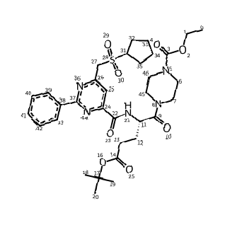 CCOC(=O)N1CCN(C(=O)[C@H](CCC(=O)OC(C)(C)C)NC(=O)c2cc(CS(=O)(=O)C3CCCC3)nc(-c3ccccc3)n2)CC1